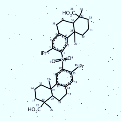 CC(C)c1cc2c(cc1S(=O)(=O)c1cc3c(cc1C(C)C)CCC1C(C)(C(=O)O)CCCC31C)C1(C)CCCC(C)(C(=O)O)C1CC2